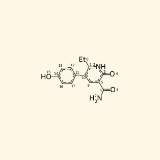 CCc1[nH]c(=O)c(C(N)=O)cc1-c1ccc(O)cc1